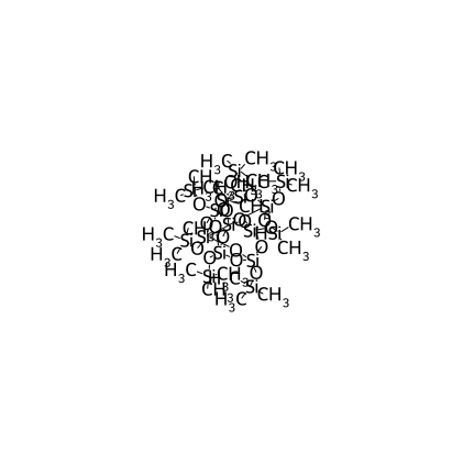 C[SiH](C)O[Si]12O[Si]3(O[Si](C)(C)C)O[Si]4(O[Si](C)(C)C)O[Si](O[Si](C)(C)C)(O1)O[Si]1(O[Si](C)(C)C)O[Si](O[Si](C)(C)C)(O2)O[Si](O[Si](C)(C)C)(O3)O[Si](O[Si](C)(C)C)(O4)O1